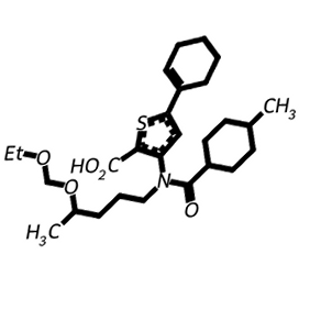 CCOCOC(C)CCCN(C(=O)C1CCC(C)CC1)c1cc(C2=CCCCC2)sc1C(=O)O